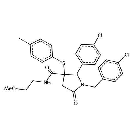 COCCNC(=O)C1(Sc2ccc(C)cc2)CC(=O)N(Cc2ccc(Cl)cc2)C1c1ccc(Cl)cc1